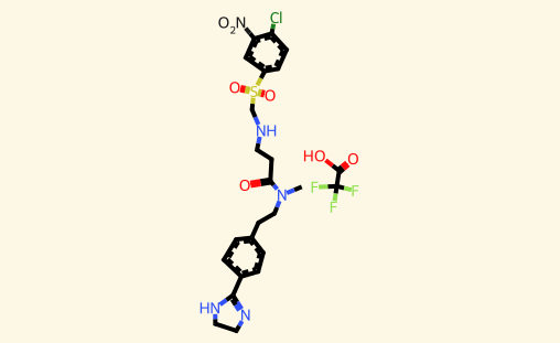 CN(CCc1ccc(C2=NCCN2)cc1)C(=O)CCNCS(=O)(=O)c1ccc(Cl)c([N+](=O)[O-])c1.O=C(O)C(F)(F)F